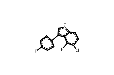 Fc1ccc(-c2c[nH]c3ccc(Cl)c(F)c23)cc1